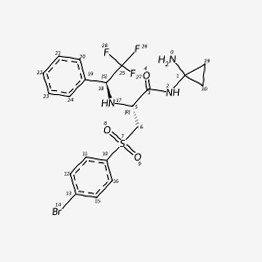 NC1(NC(=O)[C@H](CS(=O)(=O)c2ccc(Br)cc2)N[C@@H](c2ccccc2)C(F)(F)F)CC1